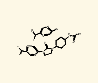 FC(F)c1cnc(Br)cn1.O=C(O)NC1CCC(N2CCN(c3cnc(C(F)F)cn3)C2=O)CC1